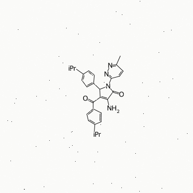 Cc1ccc(N2C(=O)C(N)=C(C(=O)c3ccc(C(C)C)cc3)C2c2ccc(C(C)C)cc2)nn1